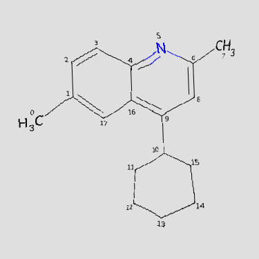 Cc1ccc2nc(C)cc(C3CCCCC3)c2c1